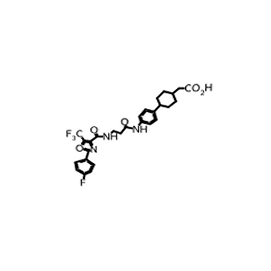 O=C(O)CC1CCC(c2ccc(NC(=O)CCNC(=O)c3nc(-c4ccc(F)cc4)oc3C(F)(F)F)cc2)CC1